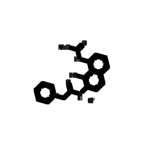 COC(=O)Nc1cccc2ccc(NC(=O)C[n+]3ccccc3)c(O)c12.[Cl-]